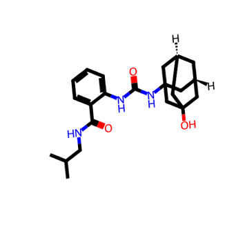 CC(C)CNC(=O)c1ccccc1NC(=O)NC12C[C@@H]3C[C@@H](CC(O)(C3)C1)C2